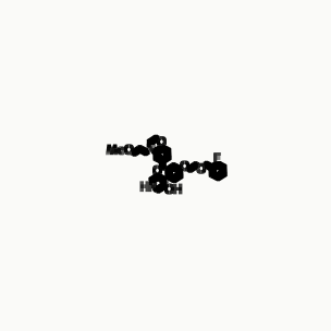 COCCCN1CCOc2ccc(CO[C@H]3CNC[C@@H](O)[C@@H]3c3ccc(OCCOCc4ccccc4F)cc3)cc21